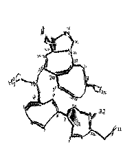 CN(c1cccc(-c2ccc(F)nc2)c1)c1nc2nncn2c2cc(Cl)ccc12